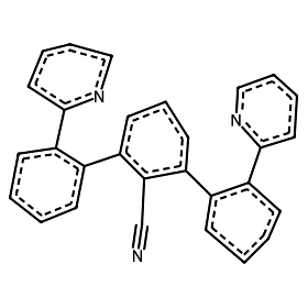 N#Cc1c(-c2ccccc2-c2ccccn2)cccc1-c1ccccc1-c1ccccn1